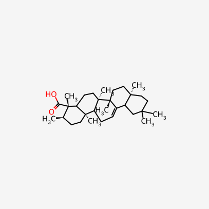 C[C@@H]1CC[C@@]2(C)C(CC[C@]3(C)C2CC=C2C4CC(C)(C)CC[C@]4(C)CC[C@]23C)[C@@]1(C)C(=O)O